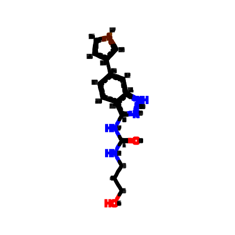 O=C(NCCCO)Nc1n[nH]c2cc(-c3ccsc3)ccc12